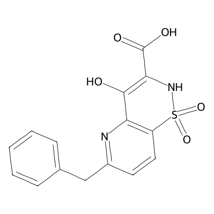 O=C(O)C1=C(O)c2nc(Cc3ccccc3)ccc2S(=O)(=O)N1